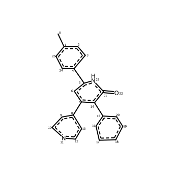 Cc1ccc(-c2cc(-c3ccncc3)c(-c3ccccc3)c(=O)[nH]2)cc1